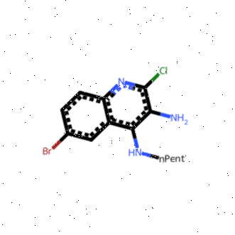 CCCCCNc1c(N)c(Cl)nc2ccc(Br)cc12